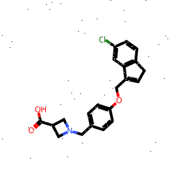 O=C(O)C1CN(Cc2ccc(OCC3=CCc4ccc(Cl)cc43)cc2)C1